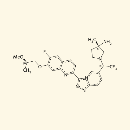 CO[C@H](C)COc1cc2nc(-c3nnc4ccc([C@H](N5CC[C@](C)(N)C5)C(F)(F)F)cn34)ccc2cc1F